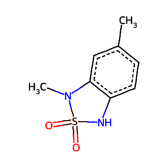 Cc1ccc2c(c1)N(C)S(=O)(=O)N2